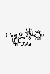 COc1ncnc(OC)c1C(=O)Nc1nc(C(F)(F)F)c(-c2cnccn2)s1